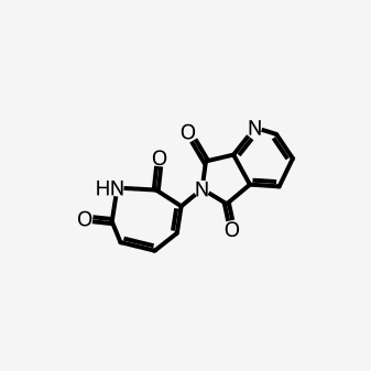 O=C1c2cccnc2C(=O)N1c1cccc(=O)[nH]c1=O